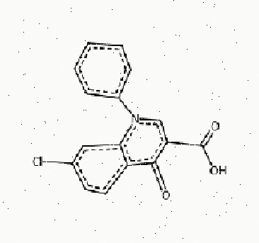 O=C(O)c1cn(-c2ccccc2)c2cc(Cl)ccc2c1=O